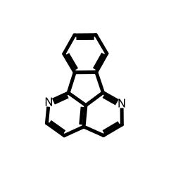 c1ccc2c(c1)-c1nccc3ccnc-2c13